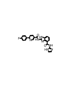 O=C(Nc1nc2c(C(=O)Nc3ncc[nH]3)cccc2[nH]1)c1ccc(-c2ccc(F)cc2)nc1